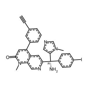 C#Cc1cccc(-c2cc(=O)n(C)c3cnc([C@](N)(c4ccc(I)cc4)c4cncn4C)cc23)c1